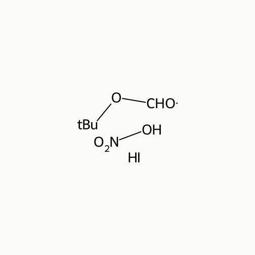 CC(C)(C)O[C]=O.I.O=[N+]([O-])O